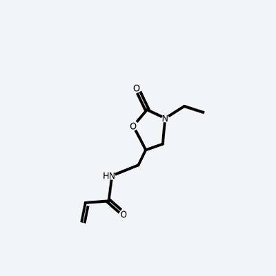 C=CC(=O)NCC1CN(CC)C(=O)O1